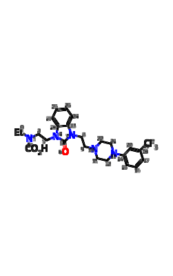 CCN(CCn1c(=O)n(CCN2CCN(c3cccc(C(F)(F)F)c3)CC2)c2ccccc21)C(=O)O